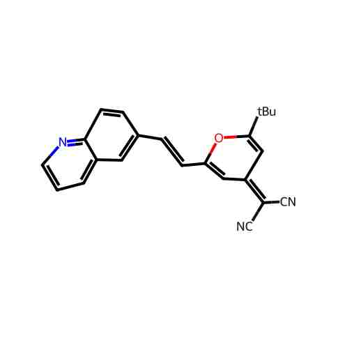 CC(C)(C)C1=CC(=C(C#N)C#N)C=C(C=Cc2ccc3ncccc3c2)O1